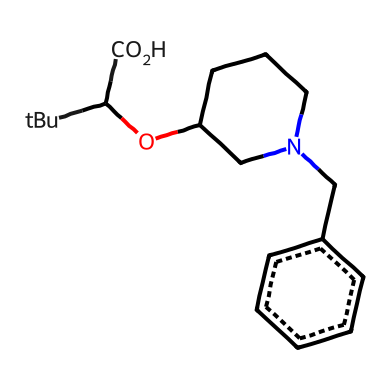 CC(C)(C)C(OC1CCCN(Cc2ccccc2)C1)C(=O)O